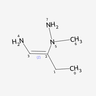 CC/C(=C/N)N(C)N